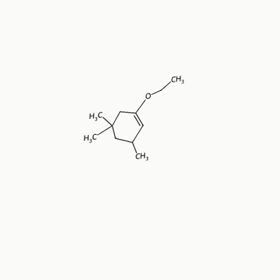 CCOC1=CC(C)CC(C)(C)C1